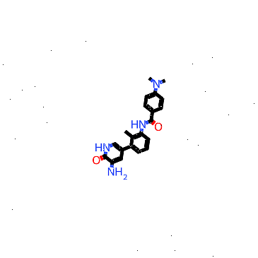 Cc1c(NC(=O)c2ccc(N(C)C)cc2)cccc1-c1c[nH]c(=O)c(N)c1